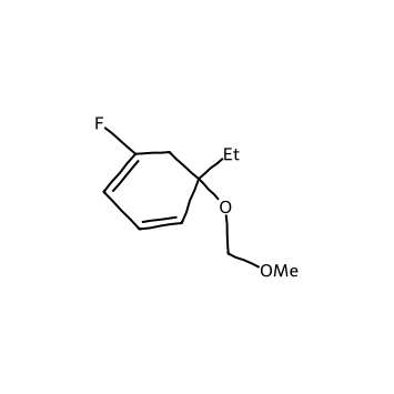 CCC1(OCOC)C=CC=C(F)C1